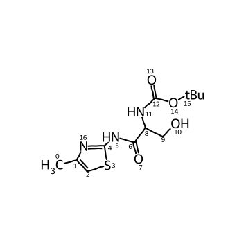 Cc1csc(NC(=O)C(CO)NC(=O)OC(C)(C)C)n1